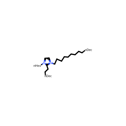 CCCCCCCCCCCCCCCCCCC[n+]1ccn(CCCCCC)c1CCCCCCCCCCCC